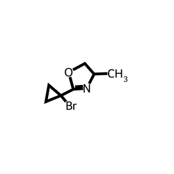 CC1COC(C2(Br)CC2)=N1